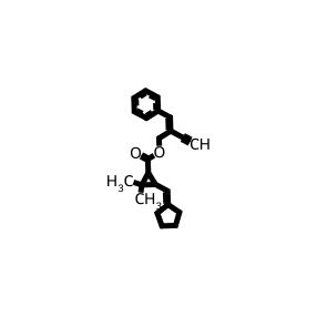 C#CC(=Cc1ccccc1)COC(=O)C1C(C=C2CCCC2)C1(C)C